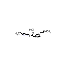 CC/C=C/C=C/OC(=O)CN1C=CN(CCCC)C1.Cl